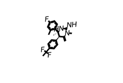 C=C1[C@@H](c2ccc(C(C)(F)F)cc2)[C@@](C)(c2ccc(F)cc2C)NC(=N)N1C